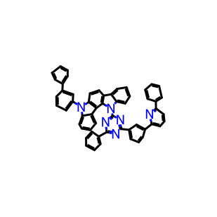 c1ccc(-c2cccc(-n3c4ccccc4c4c3ccc3c5ccccc5n(-c5nc(-c6ccccc6)nc(-c6cccc(-c7cccc(-c8ccccc8)n7)c6)n5)c34)c2)cc1